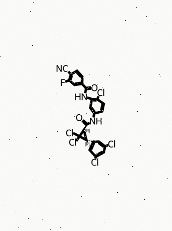 N#Cc1ccc(C(=O)Nc2cc(NC(=O)[C@H]3[C@H](c4cc(Cl)cc(Cl)c4)C3(Cl)Cl)ccc2Cl)cc1F